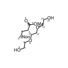 CCCCCCCCCCCC(=O)OC.OCCOCCOCCO